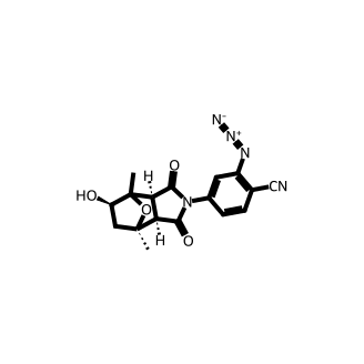 CC12O[C@](C)(C[C@H]1O)[C@@H]1C(=O)N(c3ccc(C#N)c(N=[N+]=[N-])c3)C(=O)[C@@H]12